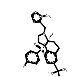 Cn1ncnc1CN1CC[C@]2(S(=O)(=O)c3ccc(F)cc3)c3ccc(C(F)(C(F)(F)F)C(F)(F)F)cc3CC[C@H]12